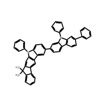 CC1(C)c2ccccc2-c2cc3c4cc(-c5ccc6c7ccc(-c8ccccc8)cc7n(-c7ccccc7)c6c5)ccc4n(-c4ccccc4)c3cc21